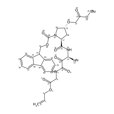 C=CCOC(=O)CNC(=O)C(=O)[C@H](CCC)NC(=O)[C@@H]1C[C@@H](OCC(=O)OC(C)(C)C)CN1C(=O)OCC1c2ccccc2-c2ccccc21